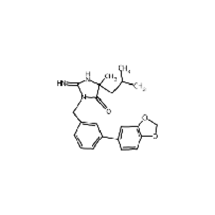 CC(C)CC1(C)NC(=N)N(Cc2cccc(-c3ccc4c(c3)OCO4)c2)C1=O